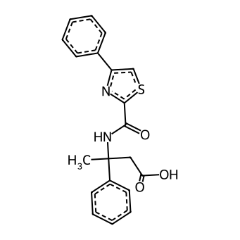 CC(CC(=O)O)(NC(=O)c1nc(-c2ccccc2)cs1)c1ccccc1